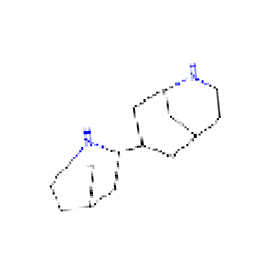 C1CC2CC(CC(C3CC4CCC(C4)N3)C2)N1